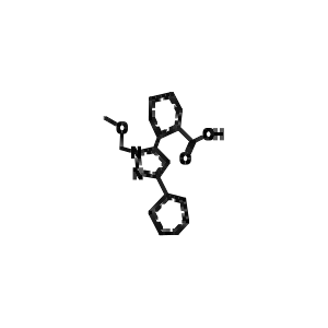 COCn1nc(-c2ccccc2)cc1-c1ccccc1C(=O)O